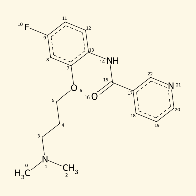 CN(C)CCCOc1cc(F)ccc1NC(=O)c1cccnc1